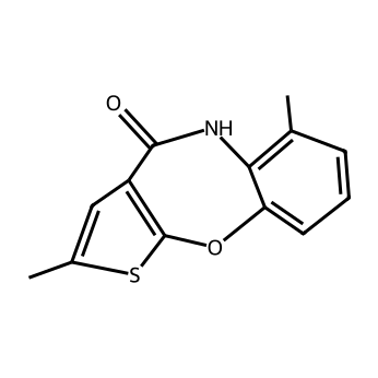 Cc1cc2c(s1)Oc1cccc(C)c1NC2=O